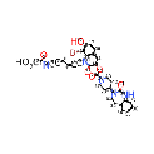 O=C(O)C(=O)N=C=C=CC=C=C=NC(=O)[C@@H](Cc1ccc(O)c(Br)c1)OC(=O)N1CCC(N2CCc3ccccc3NC2=O)CC1